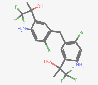 CC(O)(c1cc(Cc2cc(C(C)(O)C(F)(F)F)c(N)cc2Br)c(Br)cc1N)C(F)(F)F